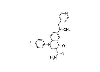 CN(Cc1ccncc1)c1ccc2c(c1)c(=O)c(C(N)=O)cn2-c1ccc(F)cc1